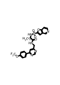 C[C@H](NS(=O)(=O)c1cc2cnccc2o1)C(=O)NCc1cc(-c2ccc(OC(F)(F)F)cc2)ncn1